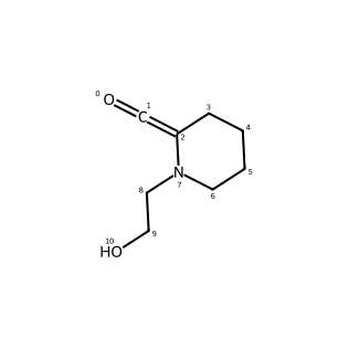 O=C=C1CCCCN1CCO